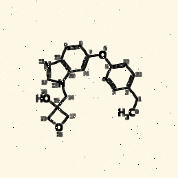 CCc1ccc(Oc2ccc3ncn(CC4(O)COC4)c3c2)cc1